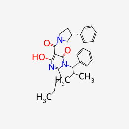 CCCCc1nc(O)c(C(=O)N2CC[C@H](c3ccccc3)C2)c(=O)n1C(c1ccccc1)C(C)C